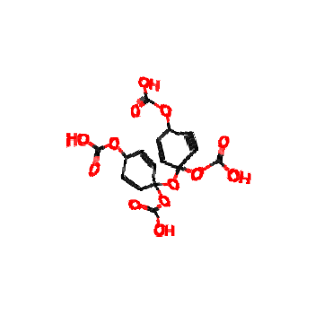 O=C(O)OC1C=CC(OC(=O)O)(OC2(OC(=O)O)C=CC(OC(=O)O)C=C2)C=C1